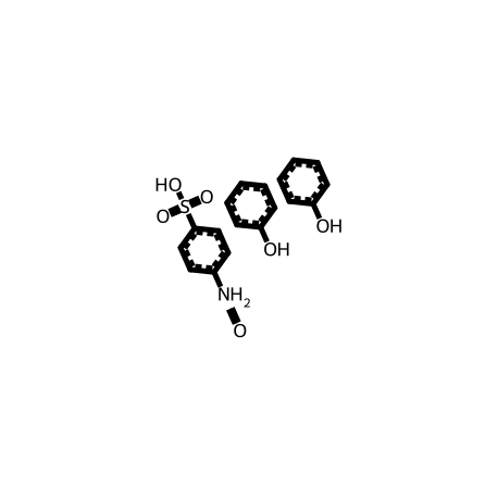 C=O.Nc1ccc(S(=O)(=O)O)cc1.Oc1ccccc1.Oc1ccccc1